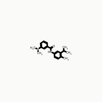 Cc1ccc(NC(=O)c2cccc(N(C)C)c2)cc1C(C)C